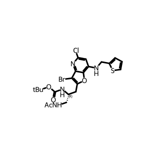 CC(=O)NC[C@@H](Cc1oc2c(NCc3cccs3)cc(Cl)nc2c1Br)NC(=O)OC(C)(C)C